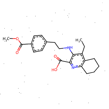 CCc1c2c(nc(C(=O)O)c1NCCc1ccc(C(=O)OC)cc1)CCCC2